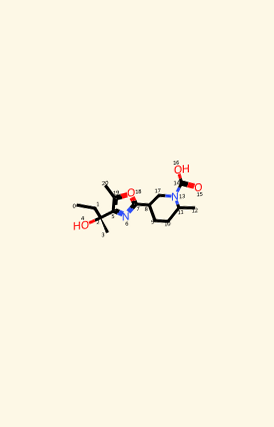 CC[C@@](C)(O)c1nc(C2CCC(C)N(C(=O)O)C2)oc1C